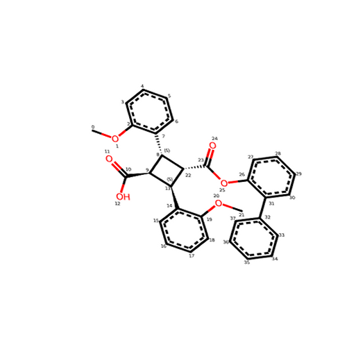 COc1ccccc1[C@H]1[C@H](C(=O)O)[C@H](c2ccccc2OC)[C@H]1C(=O)Oc1ccccc1-c1ccccc1